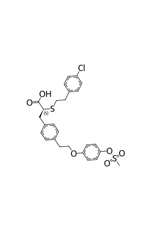 CS(=O)(=O)Oc1ccc(OCCc2ccc(C[C@H](SCCc3ccc(Cl)cc3)C(=O)O)cc2)cc1